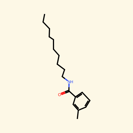 CCCCCCCCCCNC(=O)c1cccc(C)c1